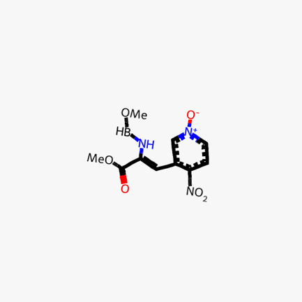 COBN/C(=C\c1c[n+]([O-])ccc1[N+](=O)[O-])C(=O)OC